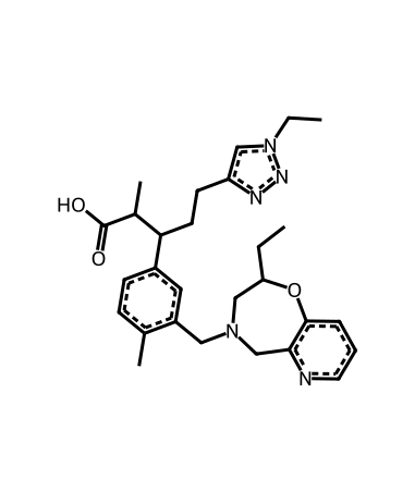 CCC1CN(Cc2cc(C(CCc3cn(CC)nn3)C(C)C(=O)O)ccc2C)Cc2ncccc2O1